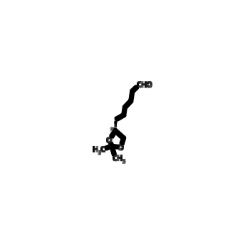 CC1(C)OC[C@@H](CCCCCC=O)O1